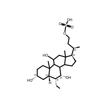 CC[C@H]1[C@@H](O)C2C3CC[C@H]([C@H](C)CCOS(=O)(=O)O)C3(C)CC(O)C2C2(C)CC[C@@H](O)C[C@@H]12